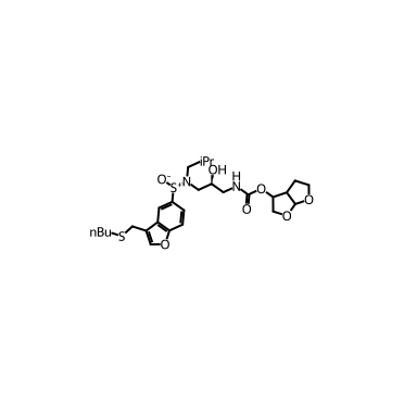 CCCCSCc1coc2ccc([S+]([O-])N(CC(C)C)C[C@@H](O)CNC(=O)OC3COC4OCCC34)cc12